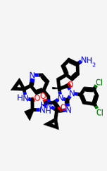 C[C@@]1(Cc2ccc(N)cc2)C(=O)N(c2cc(Cl)cc(Cl)c2)c2ncc(C(=O)NC3(C(=O)NC4(c5cc(CNC(=O)C6CC6)ccn5)CC4)CC3)n21